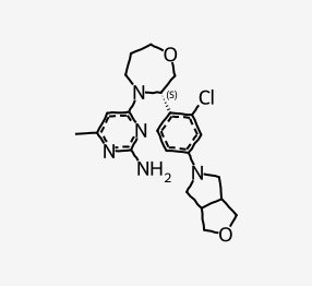 Cc1cc(N2CCCOC[C@@H]2c2ccc(N3CC4COCC4C3)cc2Cl)nc(N)n1